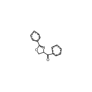 O=C(c1ccccc1)C1COC(c2ccccc2)=N1